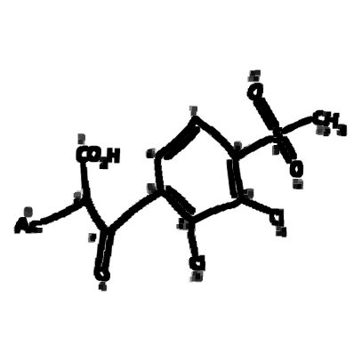 CC(=O)C(C(=O)O)C(=O)c1ccc(S(C)(=O)=O)c(Cl)c1Cl